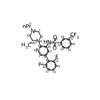 CCCN1CCN(c2ncc(-c3c(F)cccc3F)cc2NS(=O)(=O)c2cccc(C(F)(F)F)c2)[C@H](C)C1